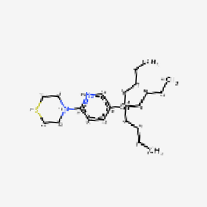 CCC[CH2][Sn]([CH2]CCC)([CH2]CCC)[c]1ccc(N2CCSCC2)nc1